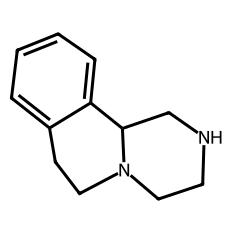 c1ccc2c(c1)CCN1CCNCC21